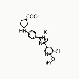 CC(C)Oc1ncc(-c2nc(-c3ccc(N[C@H]4CC[C@@H](C(=O)[O-])C4)cc3)no2)cc1Cl.[K+]